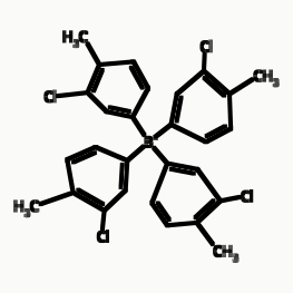 Cc1ccc([B-](c2ccc(C)c(Cl)c2)(c2ccc(C)c(Cl)c2)c2ccc(C)c(Cl)c2)cc1Cl